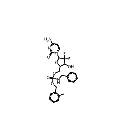 Cc1ccccc1COP(=O)(NCc1ccccc1)OCC1OC(n2ccc(N)nc2=O)C(F)(F)C1O